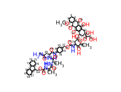 COc1cccc2c1C(=O)c1c(O)c3c(c(O)c1C2=O)C[C@@](O)(C(=O)CO)C[C@@H]3O[C@H]1C[C@H](NC(=O)OCc2ccc(NC(=O)[C@H](CC(N)=O)NC(=O)[C@H](C)NC(=O)[C@H](C)NC(=O)OCC3c4ccccc4-c4ccccc43)cc2)[C@H](O)[C@H](C)O1